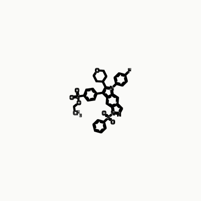 O=S(=O)(OCC(F)(F)F)c1ccc(-c2c(C3CCOCC3)n(-c3ccc(F)cc3)c3cc4cnn(S(=O)(=O)c5ccccc5)c4cc23)cc1